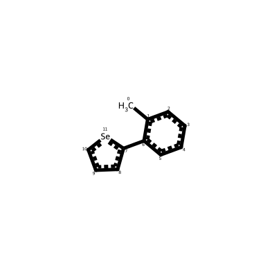 Cc1ccccc1-c1ccc[se]1